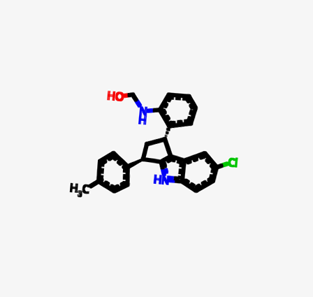 Cc1ccc([C@H]2C[C@H](c3ccccc3NCO)c3c2[nH]c2ccc(Cl)cc32)cc1